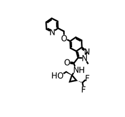 Cn1nc2ccc(OCc3ccccn3)cc2c1C(=O)N[C@@]1(CO)C[C@H]1C(F)F